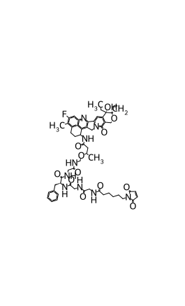 C=C1OCc2c(cc3n(c2=O)Cc2c-3nc3cc(F)c(C)c4c3c2[C@@H](NC(=O)C[C@@H](C)OCNC(=O)CNC(=O)[C@H](Cc2ccccc2)NC(=O)CNC(=O)CNC(=O)CCCCCN2C(=O)C=CC2=O)CC4)[C@@]1(O)CC